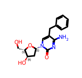 Nc1nc(=O)n([C@@H]2C[C@@H](O)[C@H](CO)O2)cc1Cc1ccccc1